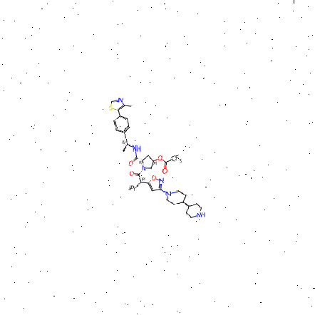 Cc1ncsc1-c1ccc([C@H](C)NC(=O)[C@@H]2C[C@@H](OC(=O)C(F)(F)F)CN2C(=O)[C@@H](c2cc(N3CCC(C4CCNCC4)CC3)no2)C(C)C)cc1